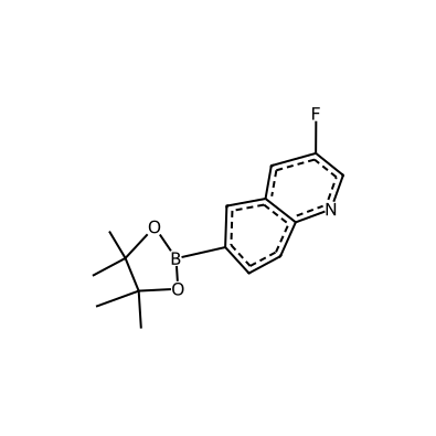 CC1(C)OB(c2ccc3ncc(F)cc3c2)OC1(C)C